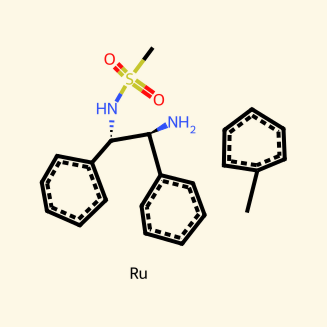 CS(=O)(=O)N[C@@H](c1ccccc1)[C@@H](N)c1ccccc1.Cc1ccccc1.[Ru]